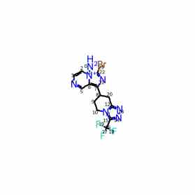 N[N+]12C=CN=CC1=C(C1CCn3c(nnc3C(F)(F)F)C1)N=C2Br